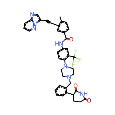 Cc1ccc(C(=O)Nc2ccc(N3CCN(Cc4ccccc4C4CCC(=O)NC4=O)CC3)c(C(F)(F)F)c2)cc1C#Cc1cnc2cccnn12